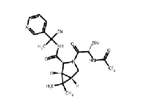 CC(C#N)(NC(=O)[C@@H]1[C@@H]2[C@H](CN1C(=O)[C@@H](NC(=O)C(F)(F)F)C(C)(C)C)C2(C)C)c1cccnc1